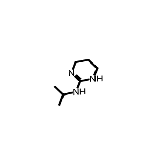 CC(C)NC1=NCCCN1